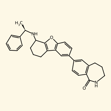 C[C@@H](NC1CCCc2c1oc1ccc(-c3ccc4c(c3)CCCNC4=O)cc21)c1ccccc1